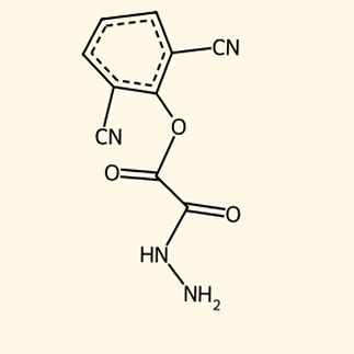 N#Cc1cccc(C#N)c1OC(=O)C(=O)NN